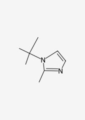 Cc1nccn1C(C)(C)C